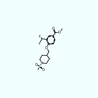 COC(=O)c1ccc(OCC2CCN(S(C)(=O)=O)CC2)c(C(F)F)c1